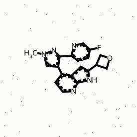 Cn1cc(-c2ccnc3[nH]c(C4COC4)cc23)c(-c2ccc(F)cn2)n1